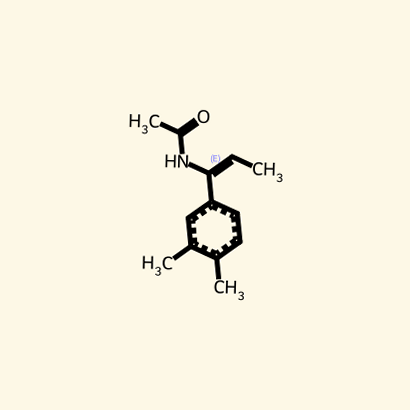 C/C=C(/NC(C)=O)c1ccc(C)c(C)c1